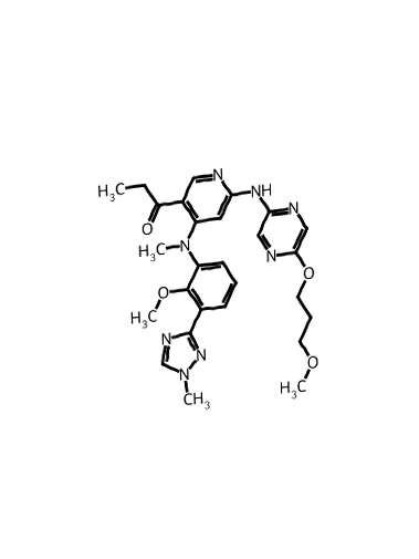 CCC(=O)c1cnc(Nc2cnc(OCCCOC)cn2)cc1N(C)c1cccc(-c2ncn(C)n2)c1OC